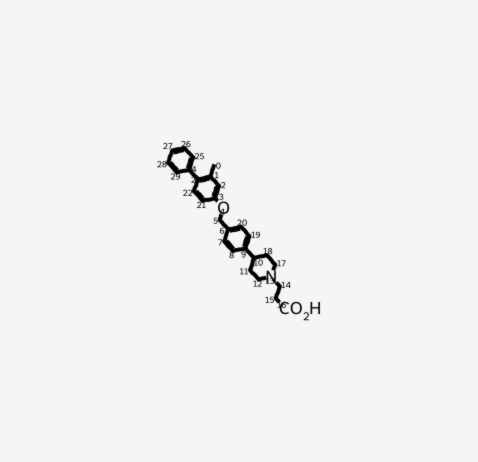 Cc1cc(OCc2ccc(C3CCN(CCC(=O)O)CC3)cc2)ccc1-c1ccccc1